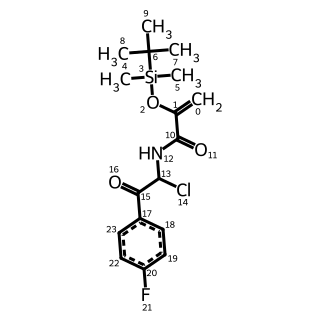 C=C(O[Si](C)(C)C(C)(C)C)C(=O)NC(Cl)C(=O)c1ccc(F)cc1